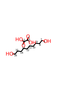 O=C(O)C(=O)O.OCCCCCCCCCCO